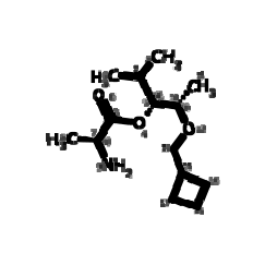 CC(C)[C@@H](OC(=O)[C@H](C)N)[C@H](C)OCC1CCC1